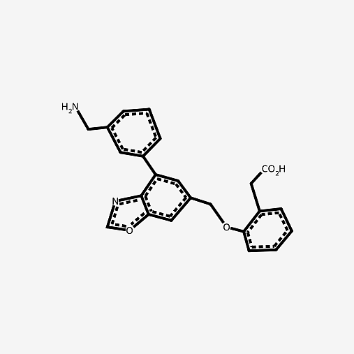 NCc1cccc(-c2cc(COc3ccccc3CC(=O)O)cc3ocnc23)c1